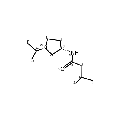 CC(C)CC(=O)N[C@H]1CCN(C(C)C)C1